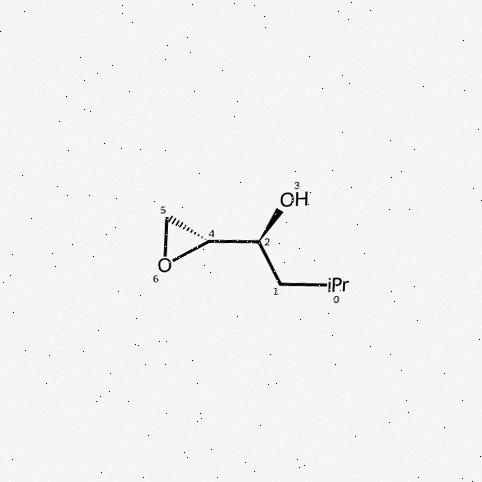 CC(C)C[C@H](O)[C@H]1CO1